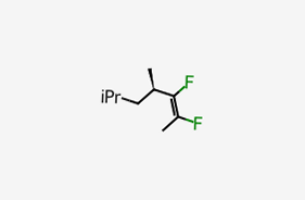 C/C(F)=C(/F)[C@H](C)CC(C)C